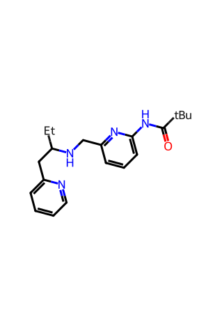 CCC(Cc1ccccn1)NCc1cccc(NC(=O)C(C)(C)C)n1